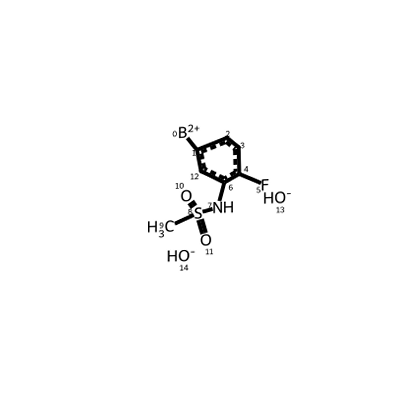 [B+2]c1ccc(F)c(NS(C)(=O)=O)c1.[OH-].[OH-]